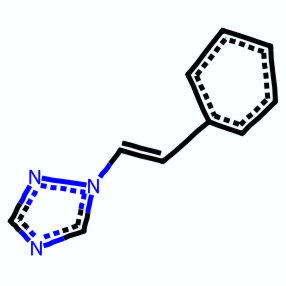 C(=C\n1cncn1)/c1ccccc1